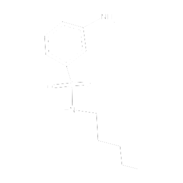 CCCCCNS(=O)(=O)c1cccc(N)c1